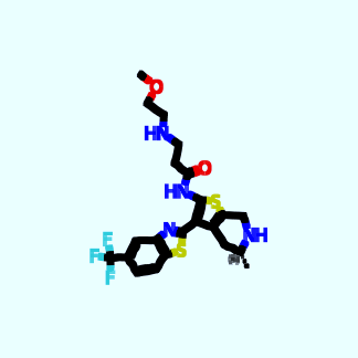 COCCNCCC(=O)Nc1sc2c(c1-c1nc3cc(C(F)(F)F)ccc3s1)C[C@@H](C)NC2